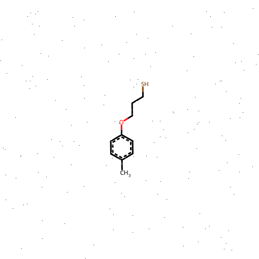 Cc1ccc(OCCCS)cc1